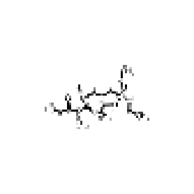 CCO[Si](CCCN(C)C(=O)N(C)C(=O)CO)(OCC)OCC